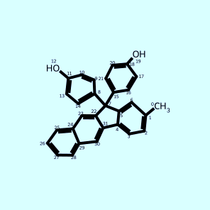 Cc1ccc2c(c1)C(c1ccc(O)cc1)(c1ccc(O)cc1)c1cc3ccccc3cc1-2